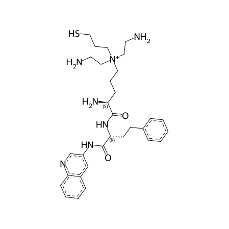 NCC[N+](CCN)(CCCS)CCC[C@H](N)C(=O)N[C@H](CCc1ccccc1)C(=O)Nc1cnc2ccccc2c1